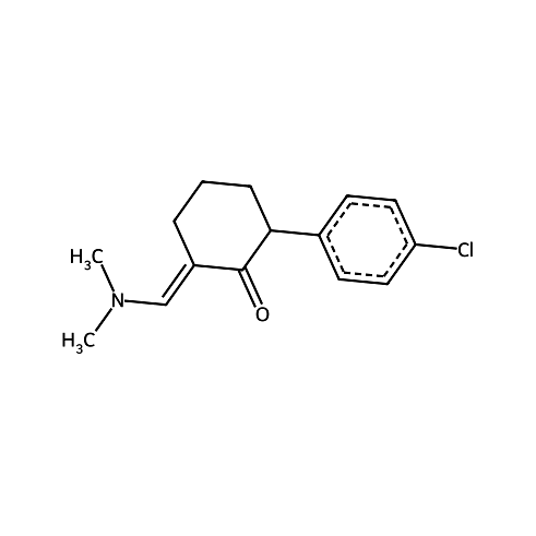 CN(C)C=C1CCCC(c2ccc(Cl)cc2)C1=O